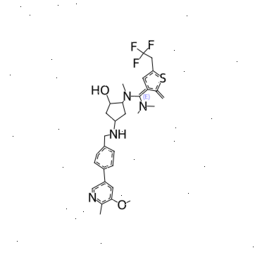 C=c1sc(CC(F)(F)F)c/c1=C(/N(C)C)N(C)C1CC(NCc2ccc(-c3cnc(C)c(OC)c3)cc2)CC1O